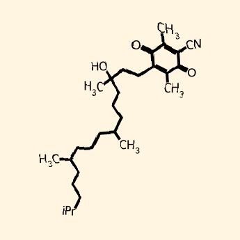 CC1=C(C#N)C(=O)C(C)=C(CCC(C)(O)CCCC(C)CCCC(C)CCCC(C)C)C1=O